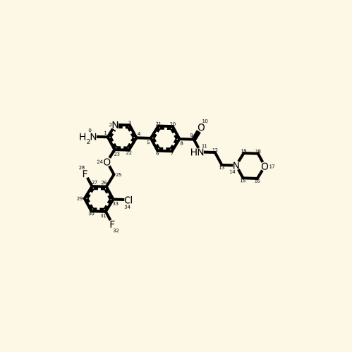 Nc1ncc(-c2ccc(C(=O)NCCN3CCOCC3)cc2)cc1OCc1c(F)ccc(F)c1Cl